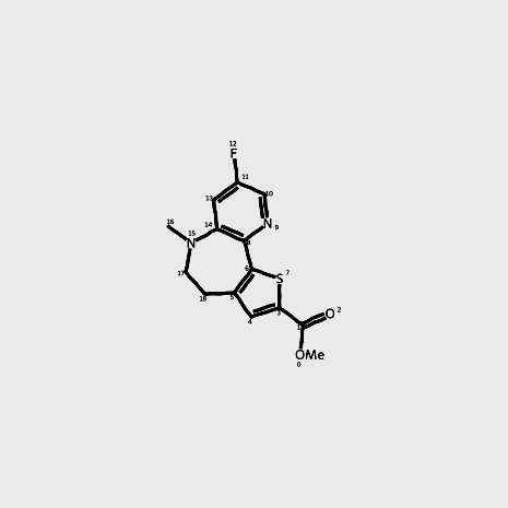 COC(=O)c1cc2c(s1)-c1ncc(F)cc1N(C)CC2